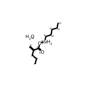 C=C(CCC)C(=O)O[SiH2]CCCCC.O